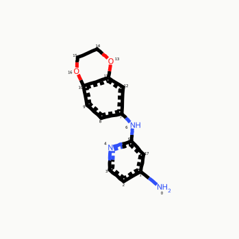 Nc1ccnc(Nc2ccc3c(c2)OCCO3)c1